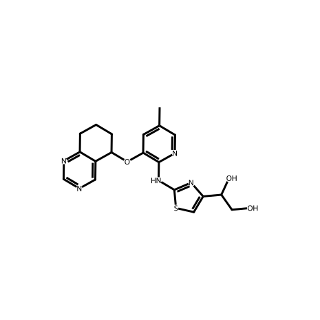 Cc1cnc(Nc2nc(C(O)CO)cs2)c(OC2CCCc3ncncc32)c1